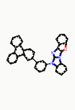 c1cc(-c2ccc3c4ccccc4c4ccccc4c3c2)cc(-n2c3ccccc3n3c4oc5ccccc5c4nc23)c1